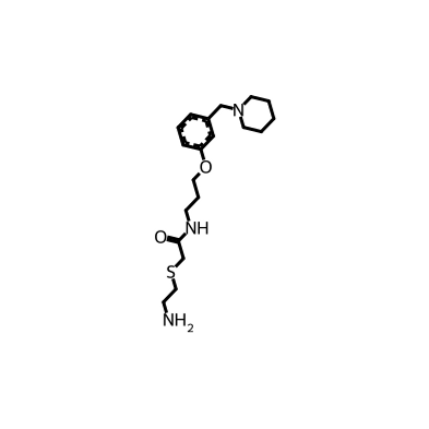 NCCSCC(=O)NCCCOc1cccc(CN2CCCCC2)c1